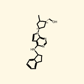 CC1C[C@H](n2ccc3c(NC4CCc5ccccc54)ncnc32)C[C@H]1CO